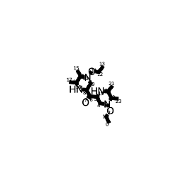 CCON1CC(C(=O)C2CN(OCC)C(C)C(C)N2)NC(C)C1C